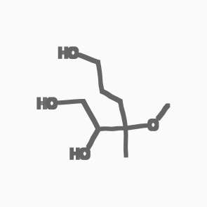 COC(C)(CCCO)C(O)CO